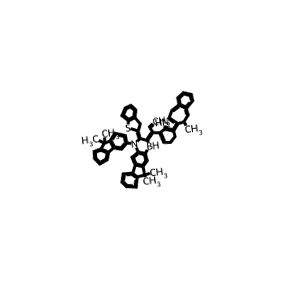 C=C/C(C1=CCCc2c1[nH]c1c2C(C)C=c2ccccc2=C1)=C1/Bc2cc3c(cc2N(c2ccc4c(c2)-c2ccccc2C4(C)C)/C1=C1/Cc2ccccc2S1)-c1ccccc1C3(C)C